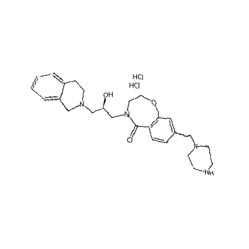 Cl.Cl.O=C1c2ccc(CN3CCNCC3)cc2OCCN1C[C@H](O)CN1CCc2ccccc2C1